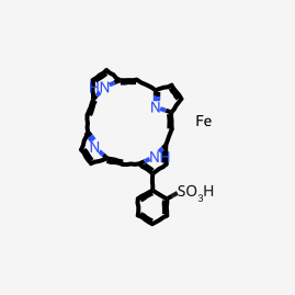 O=S(=O)(O)c1ccccc1-c1cc2cc3nc(cc4ccc(cc5nc(cc1[nH]2)C=C5)[nH]4)C=C3.[Fe]